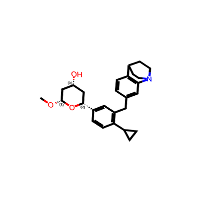 CO[C@@H]1C[C@H](O)C[C@H](c2ccc(C3CC3)c(Cc3ccc4c(c3)N3CCC4CC3)c2)O1